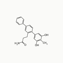 Cc1c(O)cc(-c2ccc(-c3ccccc3)cc2CCC(N)=O)cc1O